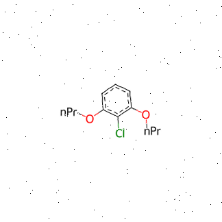 CCCOc1cccc(OCCC)c1Cl